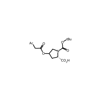 CC(=O)CC(=O)OC1C[C@@H](C(=O)O)N(C(=O)OC(C)(C)C)C1